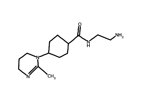 CC1=NCCCN1C1CCC(C(=O)NCCN)CC1